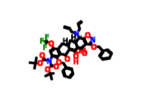 C=CCN(CC=C)[C@@H]1c2onc(OCc3ccccc3)c2C(=O)[C@@]2(O)C(O)=C3C(=O)c4c(c(OC(F)(F)F)cc(N(C(=O)OC(C)(C)C)C(=O)OC(C)(C)C)c4OCc4ccccc4)C[C@H]3C[C@@H]12